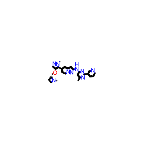 Cc1cc(Nc2cc3cc(-c4c(OC[C@H]5CCN5C)cnn4C)ccn3n2)nc(-c2cccnc2)n1